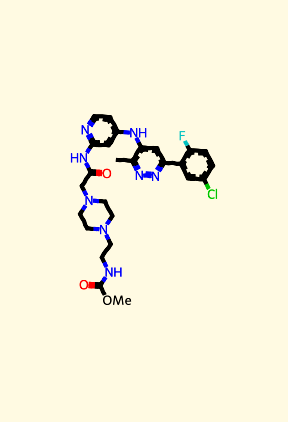 COC(=O)NCCN1CCN(CC(=O)Nc2cc(Nc3cc(-c4cc(Cl)ccc4F)nnc3C)ccn2)CC1